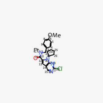 CCN(Cc1ccc(OC)cc1)C(=O)c1cc2cnc(Cl)nc2n1C1CCCC1